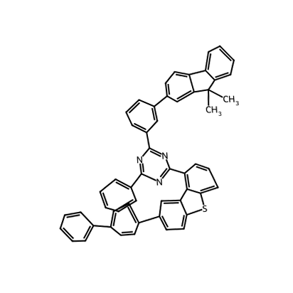 CC1(C)c2ccccc2-c2ccc(-c3cccc(-c4nc(-c5ccccc5)nc(-c5cccc6sc7ccc(-c8ccc(-c9ccccc9)cc8)cc7c56)n4)c3)cc21